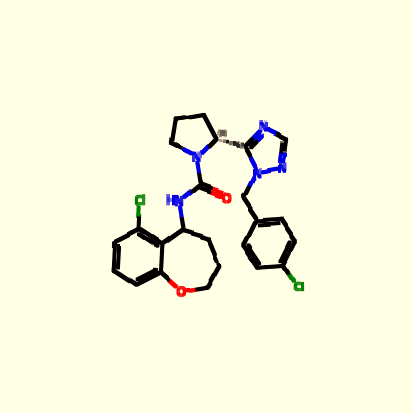 O=C(NC1CCCOc2cccc(Cl)c21)N1CCC[C@@H]1c1ncnn1Cc1ccc(Cl)cc1